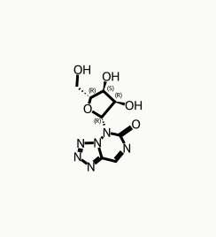 O=c1ncc2nnnn2n1[C@@H]1O[C@H](CO)[C@@H](O)[C@H]1O